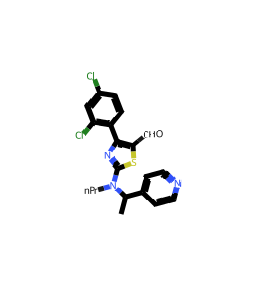 CCCN(c1nc(-c2ccc(Cl)cc2Cl)c(C=O)s1)C(C)c1ccncc1